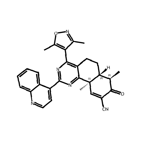 Cc1noc(C)c1-c1nc(-c2ccnc3ccccc23)nc2c1CC[C@@H]1[C@@H](C)C(=O)C(C#N)=C[C@@]21C